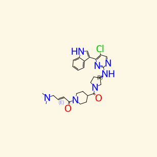 CN(C)C/C=C/C(=O)N1CCC(C(=O)N2CC[C@@H](Nc3ncc(Cl)c(-c4c[nH]c5ccccc45)n3)C2)CC1